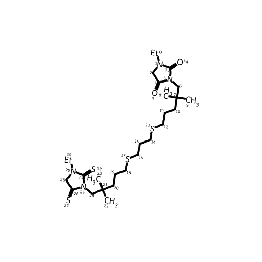 CCN1CC(=O)N(CC(C)(C)CCCSCCCSCCCC(C)(C)CN2C(=S)CN(CC)C2=S)C1=O